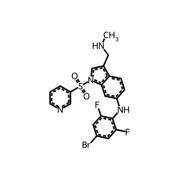 CNCc1cn(S(=O)(=O)c2cccnc2)c2cc(Nc3c(F)cc(Br)cc3F)ccc12